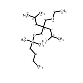 CCCC[Si](C)(C)OCC(COCC)(CC(C)C)CC(C)C